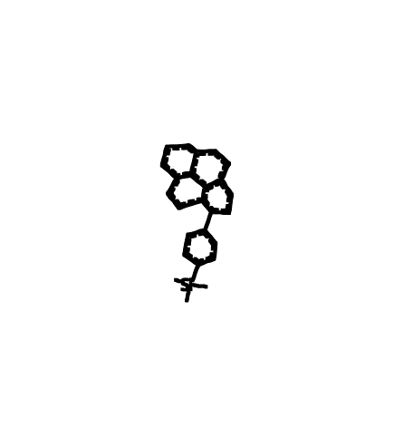 C[Si](C)(C)c1ccc(-c2ccc3ccc4cccc5ccc2c3c45)cc1